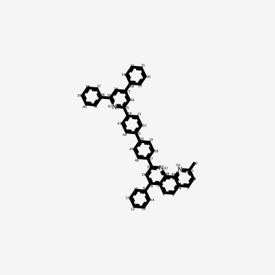 Cc1ccc2ccc3c(-c4ccccc4)cc(-c4ccc(-c5ccc(-c6cc(-c7ccccc7)cc(-c7ccccc7)n6)cc5)cc4)nc3c2n1